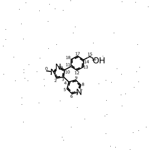 Cn1cc(-c2ccncc2)c(-c2ccc(CO)cc2)n1